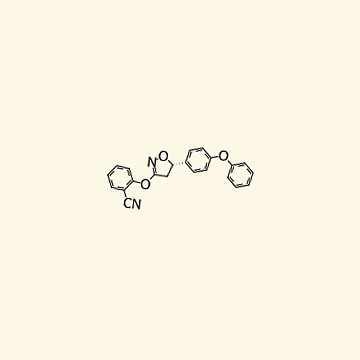 N#Cc1ccccc1OC1=NO[C@H](c2ccc(Oc3ccccc3)cc2)C1